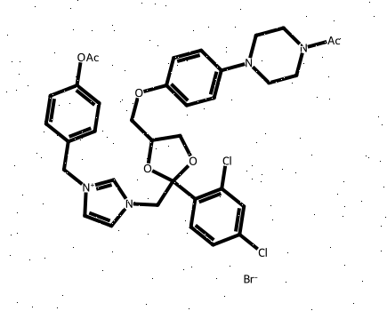 CC(=O)Oc1ccc(C[n+]2ccn(CC3(c4ccc(Cl)cc4Cl)OCC(COc4ccc(N5CCN(C(C)=O)CC5)cc4)O3)c2)cc1.[Br-]